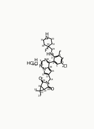 Cc1cc(Cl)cc(-c2ncnn3cc(CN4C(=O)C5C(C4=O)C5(C)C)cc23)c1NCC1(F)CCNCC1.Cl.Cl